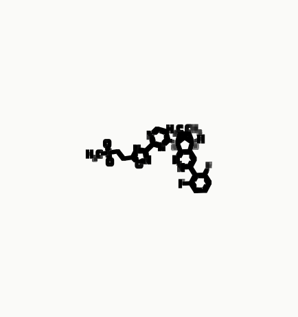 CC1(C)[C@H]2CC[C@]1(c1ccnc(-c3noc(CCS(C)(=O)=O)n3)n1)c1nnc(-c3c(F)cccc3F)cc12